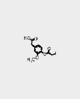 COc1cc(CC(=O)O)ccc1OC(=O)CI